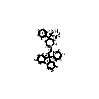 CCCC(N)(CCC)C1(c2ccccc2)CCN(CCC(c2ccccc2)(c2ccccc2)c2ccccn2)CC1